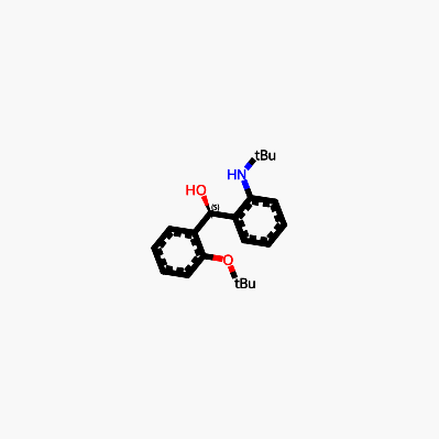 CC(C)(C)Nc1ccccc1[C@H](O)c1ccccc1OC(C)(C)C